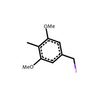 COc1cc(CI)cc(OC)c1C